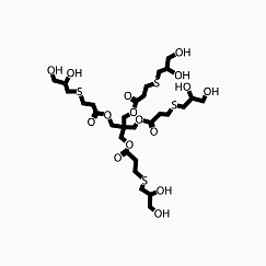 O=C(CCSCC(O)CO)OCC(COC(=O)CCSCC(O)CO)(COC(=O)CCSCC(O)CO)COC(=O)CCSCC(O)CO